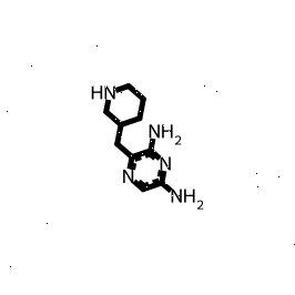 Nc1cnc(CC2CCCNC2)c(N)n1